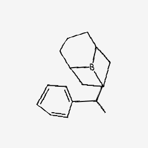 CC(CB1C2CCCC1CCC2)c1ccccc1